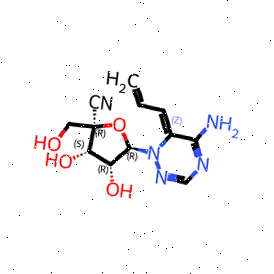 C=C/C=C1/C(N)=NC=NN1[C@@H]1O[C@](C#N)(CO)[C@@H](O)[C@H]1O